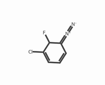 [N-]=[N+]=C1C=CC=C(Cl)C1F